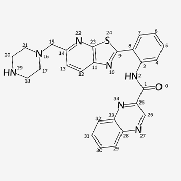 O=C(Nc1ccccc1-c1nc2ccc(CN3CCNCC3)nc2s1)c1cnc2ccccc2n1